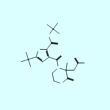 CC(C)(C)OC(=O)c1sc(C(C)(C)C)cc1C(=O)N1CCNC(=O)C1(C)CC(=O)O